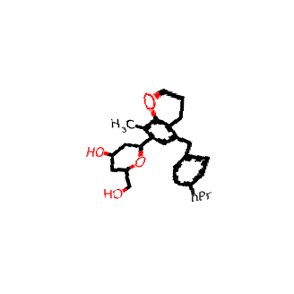 CCCc1ccc(Cc2cc(C3CC(O)CC(CO)O3)c(C)c3c2CCCO3)cc1